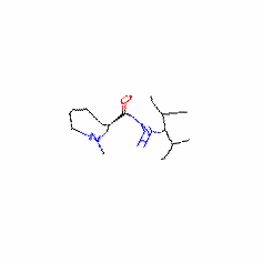 CC(C)C(NC(=O)[C@@H]1CCCN1C)C(C)C